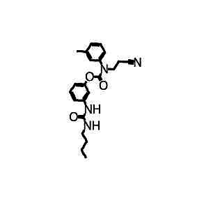 CCCCNC(=O)Nc1cccc(OC(=O)N(CCC#N)c2cccc(C)c2)c1